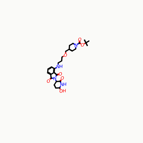 CC(C)(C)OC(=O)N1CCC(COCCCNc2cccc3c2C(=O)N(C2CCC(O)NC2=O)C3=O)CC1